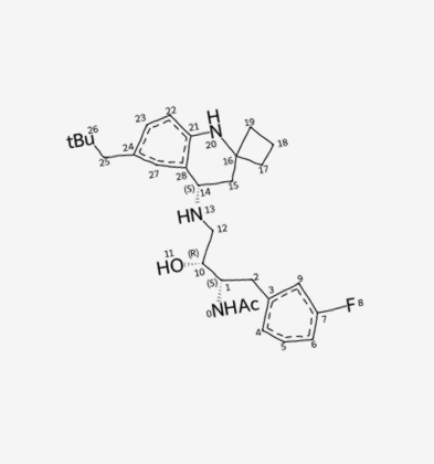 CC(=O)N[C@@H](Cc1cccc(F)c1)[C@H](O)CN[C@H]1CC2(CCC2)Nc2ccc(CC(C)(C)C)cc21